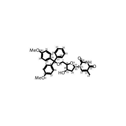 COc1ccc(C(OCC2O[C@@H](n3cc(C)c(=O)[nH]c3=O)C[C@H]2O)(c2ccccc2)c2ccc(OC)cc2)cc1